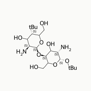 CC(C)(C)O[C@@H]1OC(CO)[C@@H](O[C@@H]2OC(CO)[C@@H](C(C)(C)C)C(O)[C@@H]2N)C(O)[C@@H]1N